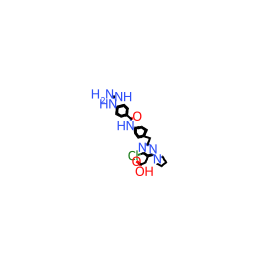 N=C(N)Nc1ccc(C(=O)Nc2ccc(Cc3nc(Cl)c(CC(=O)O)c(N4CCCC4)n3)cc2)cc1